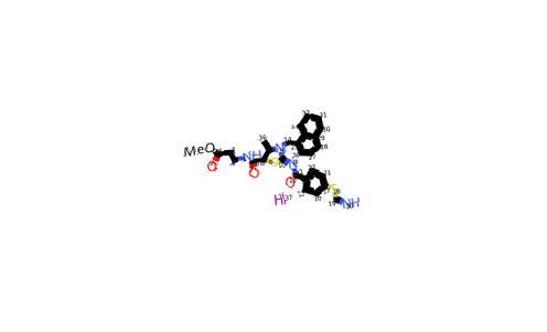 COC(=O)CCNC(=O)C1SC(=NC(=O)c2ccc(SC=N)cc2)N(Cc2cccc3ccccc23)C1C.I